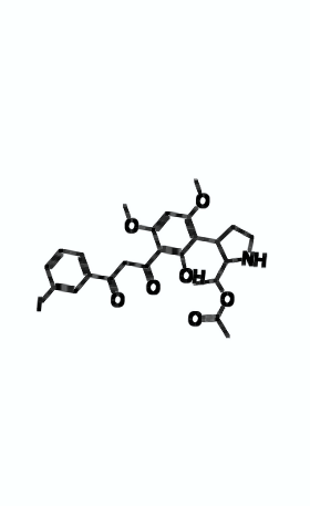 COc1cc(OC)c(C2CCNC2C(C)OC(C)=O)c(O)c1C(=O)CC(=O)c1cccc(I)c1